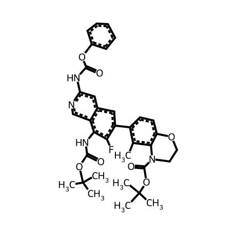 Cc1c(-c2cc3cc(NC(=O)Oc4ccccc4)ncc3c(NC(=O)OC(C)(C)C)c2F)ccc2c1N(C(=O)OC(C)(C)C)CCO2